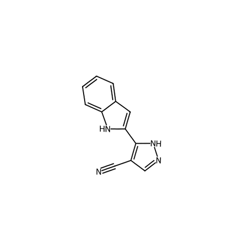 N#Cc1cn[nH]c1-c1cc2ccccc2[nH]1